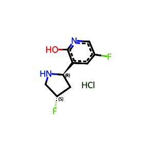 Cl.Oc1ncc(F)cc1[C@H]1C[C@H](F)CN1